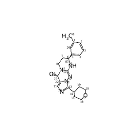 Cc1cccc([C@@H]2CCn3c(nn4c(C5CCOCC5)ncc4c3=O)N2)c1